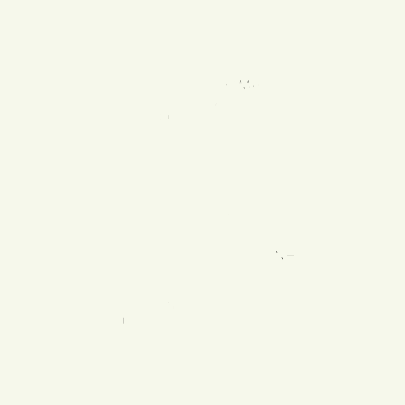 C[CH]SCc1c[nH]c2ccc(C(=O)OC)cc12